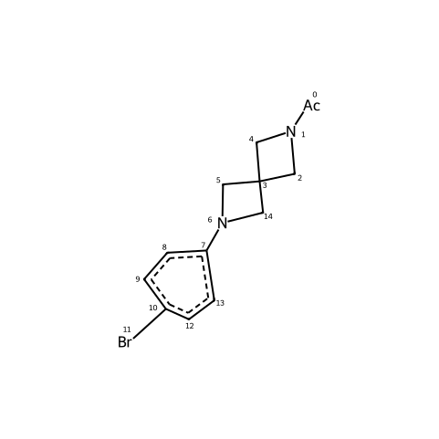 CC(=O)N1CC2(C1)CN(c1ccc(Br)cc1)C2